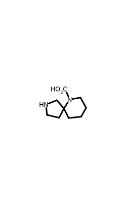 O=C(O)N1CCCCC12CCNC2